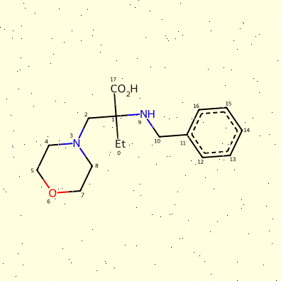 CCC(CN1CCOCC1)(NCc1ccccc1)C(=O)O